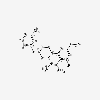 CC(C)Cc1cc(F)c(/C(N)=N/N)c(N2CCN(Cc3cc(C(F)(F)F)ccn3)CC2)c1